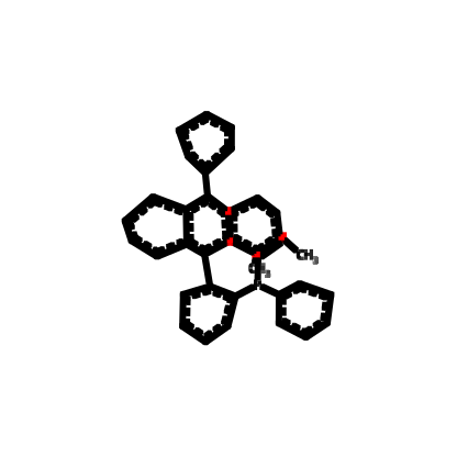 CC=C(C)c1cc(-c2ccccc2)c2ccccc2c1-c1ccccc1P(c1ccccc1)c1ccccc1